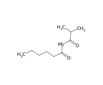 CCCCC[C](=O)[Pb][C](=O)C(C)C